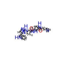 Cc1ccc(Nc2ncc(C)c(-c3c[nH]c4ccccc34)n2)cc1NC(=O)c1ccc(NC(=O)/C=C/CN(C)C)cc1